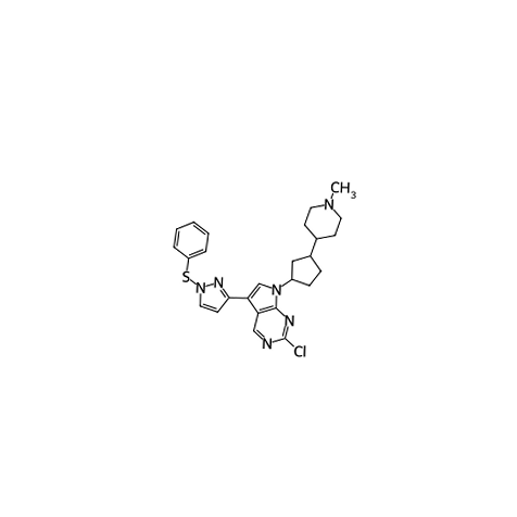 CN1CCC(C2CCC(n3cc(-c4ccn(Sc5ccccc5)n4)c4cnc(Cl)nc43)C2)CC1